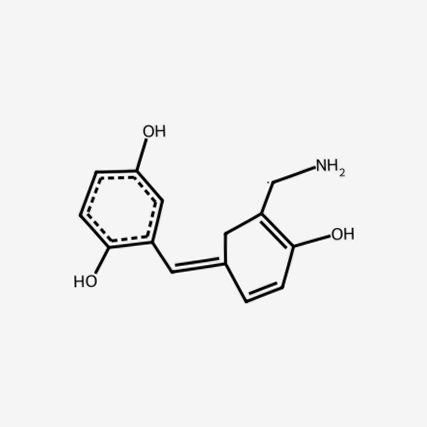 N[CH]C1=C(O)C=CC(=Cc2cc(O)ccc2O)C1